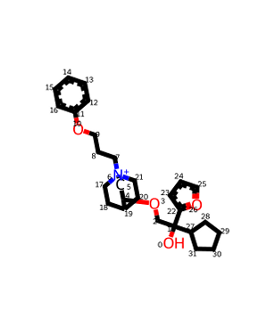 OC(COC1C[N+]2(CCCOc3ccccc3)CCC1CC2)(c1ccco1)C1CCCC1